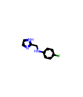 Fc1ccc(NCc2ncc[nH]2)cc1